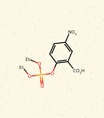 CCOP(=O)(OCC)Oc1ccc([N+](=O)[O-])cc1C(=O)O